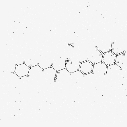 Cc1c(-c2ccc(C[C@H](N)C(=O)OCCN3CCOCC3)cc2)c(=O)n(C)c(=O)n1C.Cl